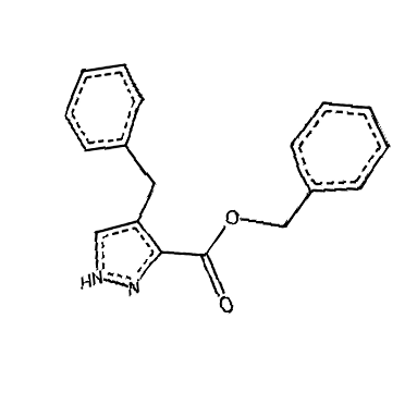 O=C(OCc1ccccc1)c1n[nH]cc1Cc1ccccc1